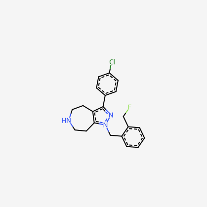 FCc1ccccc1Cn1nc(-c2ccc(Cl)cc2)c2c1CCNCC2